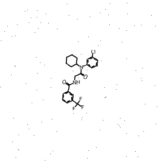 O=C(NCC(=O)N(c1cccc(Cl)c1)C1CCCCC1)c1cccc(C(F)(F)F)c1